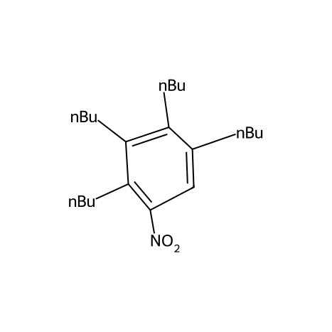 CCCCc1cc([N+](=O)[O-])c(CCCC)c(CCCC)c1CCCC